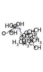 C#CCCC(C)(C)C(=O)OCc1cnc(C)c(OC(=O)CCC/C=C\C[C@@H]2[C@@H](CC[C@@H](O)CCc3ccccc3)[C@H](O)C[C@@H]2O)c1COC(=O)C(C)(C)CCC#C